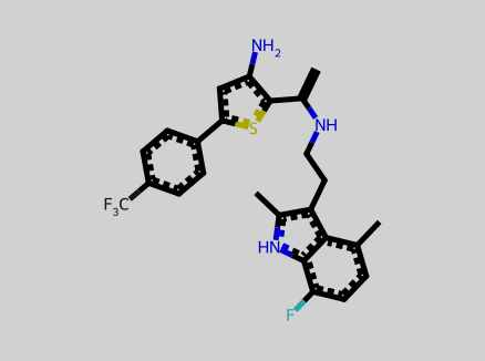 C=C(NCCc1c(C)[nH]c2c(F)ccc(C)c12)c1sc(-c2ccc(C(F)(F)F)cc2)cc1N